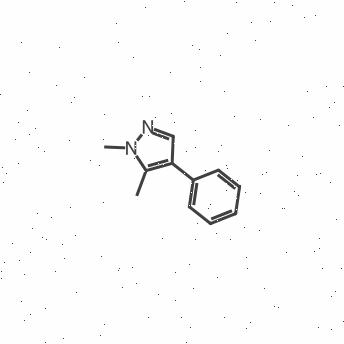 Cc1c(-c2ccccc2)cnn1C